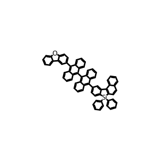 c1ccc([Si]2(c3ccccc3)c3ccc(-c4c5ccccc5c(-c5c6ccccc6c(-c6ccc7oc8ccccc8c7c6)c6ccccc56)c5ccccc45)cc3-c3c2ccc2ccccc32)cc1